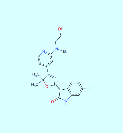 CCN(CCO)c1cc(C2=CC(=C3C(=O)Nc4cc(F)ccc43)OC2(C)C)ccn1